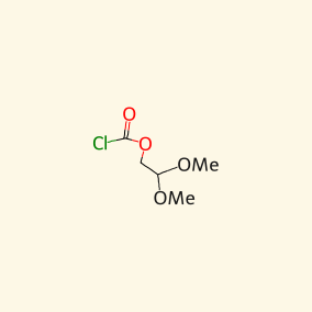 COC(COC(=O)Cl)OC